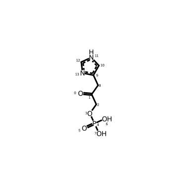 O=C(COP(=O)(O)O)Cc1c[nH]cn1